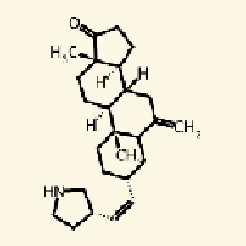 C=C1C[C@@H]2[C@H](CC[C@]3(C)C(=O)CC[C@@H]23)[C@@]2(C)CC[C@@H](/C=C\[C@@H]3CCNC3)CC12